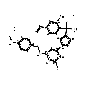 C=Cc1ccc(C(C)(O)c2cnn(-c3cc(OCc4ccc(OC)cc4)nc(C)n3)c2)c(F)c1